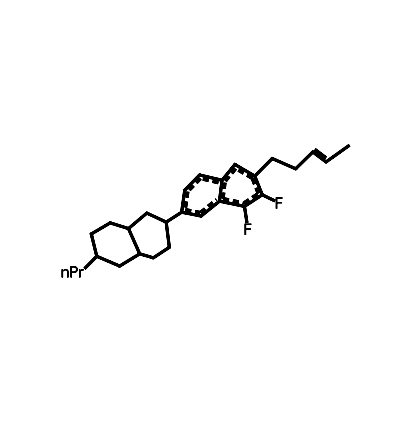 CC=CCCc1cc2ccc(C3CCC4CC(CCC)CCC4C3)cc2c(F)c1F